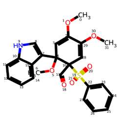 COC1=CC(OC)(c2c[nH]c3ccccc23)C(C=O)(S(=O)(=O)c2ccccc2)C=C1OC